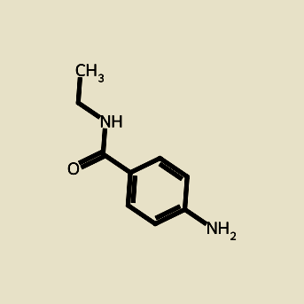 CCNC(=O)c1ccc(N)cc1